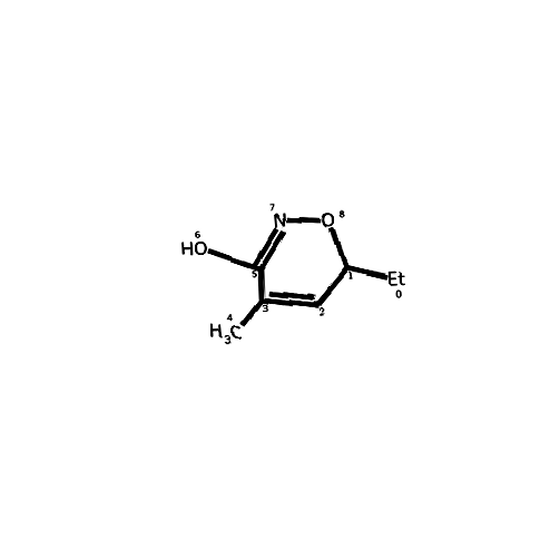 CCC1C=C(C)C(O)=NO1